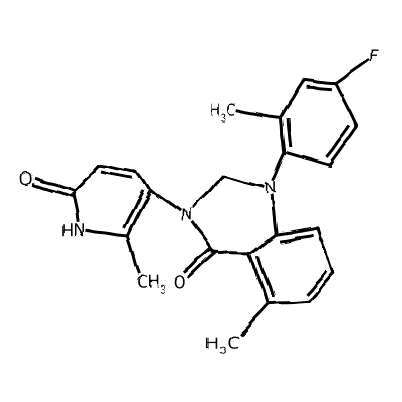 Cc1cc(F)ccc1N1CN(c2ccc(=O)[nH]c2C)C(=O)c2c(C)cccc21